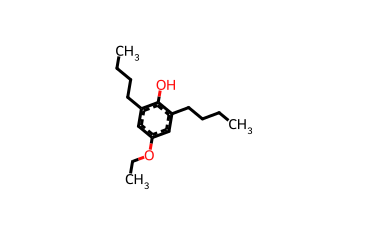 CCCCc1cc(OCC)cc(CCCC)c1O